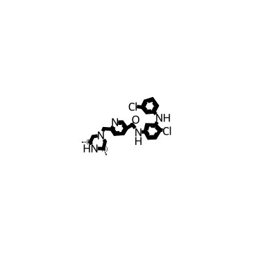 C[C@@H]1CN(Cc2ccc(C(=O)Nc3ccc(Cl)c(Nc4cccc(Cl)c4)c3)cn2)C[C@H](C)N1